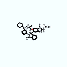 CN(c1cccc(N2C(=O)c3ccccc3C2(OC(=O)C(F)(F)F)c2ccc3[nH]c(NC(=O)O)nc3c2)c1)C1CCCCC1